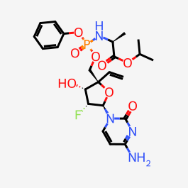 C=C[C@]1(COP(=O)(N[C@@H](C)C(=O)OC(C)C)Oc2ccccc2)O[C@@H](n2ccc(N)nc2=O)[C@H](F)[C@@H]1O